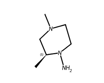 C[C@H]1CN(C)CCN1N